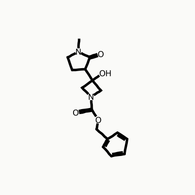 CN1CCC(C2(O)CN(C(=O)OCc3ccccc3)C2)C1=O